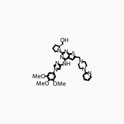 COc1cc(-n2cnc(Nc3nc(N4CCC[C@H]4CO)nc4sc(CN5CCN(c6ccccn6)CC5)cc34)c2)cc(OC)c1OC